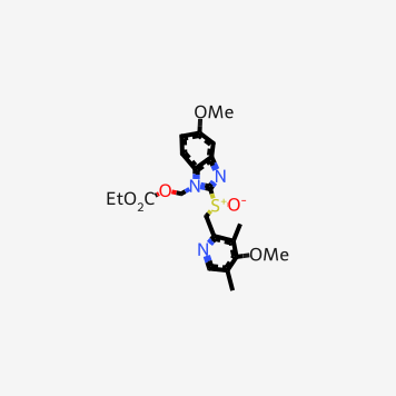 CCOC(=O)OCn1c([S+]([O-])Cc2ncc(C)c(OC)c2C)nc2cc(OC)ccc21